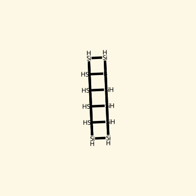 B12[SiH]3[SiH]4[SiH]1[SiH]1[SiH]4[SiH]4[SiH]5[SiH]3[SiH]2[SiH]5[SiH]14